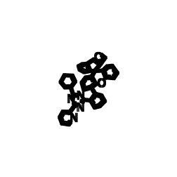 C1=CC(c2nc(-c3ccccn3)nc(-c3ccccc3-c3cccc4c3Oc3ccccc3C43C4=C(CCC=C4)c4ccccc43)n2)=CCC1